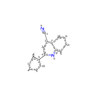 N#Cc1cc(-c2ccccc2)nc2ccccc12